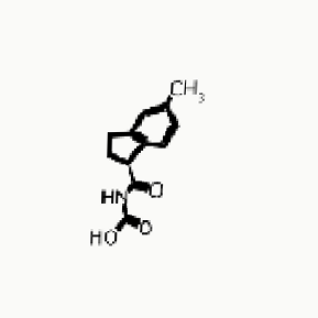 Cc1ccc2c(c1)CC[C@@H]2C(=O)NC(=O)O